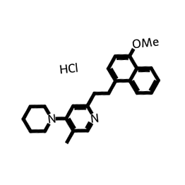 COc1ccc(CCc2cc(N3CCCCC3)c(C)cn2)c2ccccc12.Cl